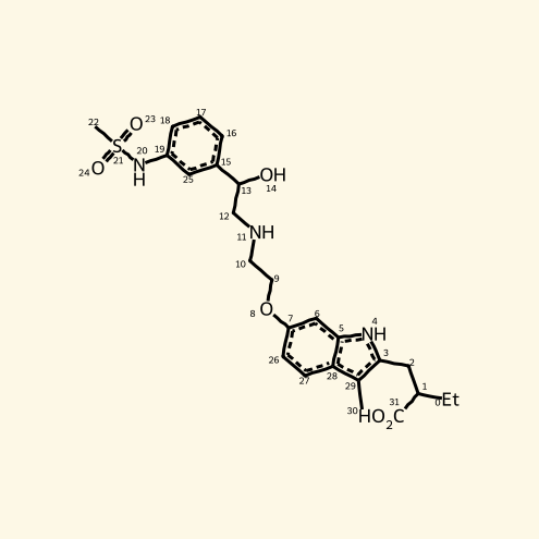 CCC(Cc1[nH]c2cc(OCCNCC(O)c3cccc(NS(C)(=O)=O)c3)ccc2c1C)C(=O)O